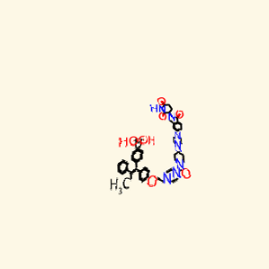 CC/C(=C(\c1ccc(OCCN2CCN(C(=O)N3CCC(N4CCN(c5ccc6c(c5)CN(C5CCC(=O)NC5=O)C6=O)CC4)CC3)CC2)cc1)c1ccc(B(O)O)cc1)c1ccccc1